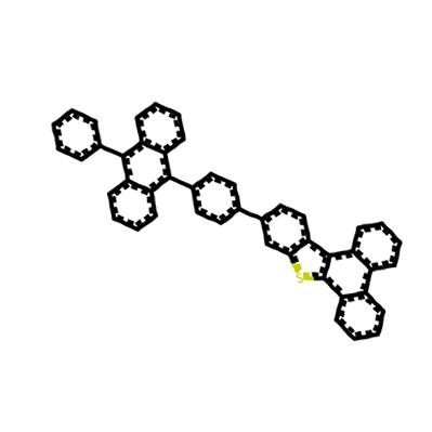 c1ccc(-c2c3ccccc3c(-c3ccc(-c4ccc5c(c4)sc4c6ccccc6c6ccccc6c54)cc3)c3ccccc23)cc1